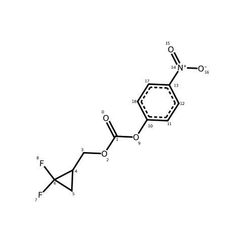 O=C(OCC1CC1(F)F)Oc1ccc([N+](=O)[O-])cc1